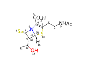 CC(=O)NCCC1=C(C(=O)O)N2C(=S)[C@@H](C(C)O)[C@H]2S1